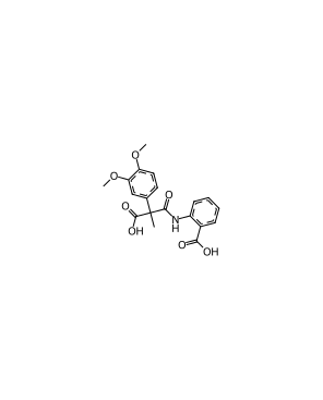 COc1ccc(C(C)(C(=O)O)C(=O)Nc2ccccc2C(=O)O)cc1OC